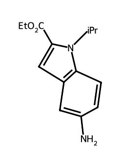 CCOC(=O)c1cc2cc(N)ccc2n1C(C)C